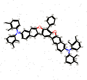 Cc1cccc(N(c2ccc3cc4c(cc3c2)oc2c(-c3ccccc3)c3oc5cc6cc(N(c7cccc(C)c7C)c7cccc(C)c7C)ccc6cc5c3cc24)c2cccc(C)c2C)c1C